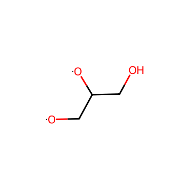 [O]CC([O])CO